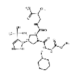 CC(CNC(=O)[C@@H]1C[C@H](N2NNC=C2C(C)(C)O)CN1C(=O)[C@@H](CC1CCCCC1)NC(=O)OC(C)(C)C)C(N)=O